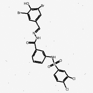 O=C(NN=Cc1cc(Br)c(O)c(Br)c1)c1cccc(NS(=O)(=O)c2ccc(Cl)c(Cl)c2)c1